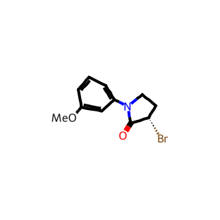 COc1cccc(N2CC[C@H](Br)C2=O)c1